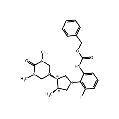 C[C@@H]1CN(c2c(F)cccc2NC(=O)OCc2ccccc2)C[C@@H]1N1CN(C)C(=O)N(C)C1